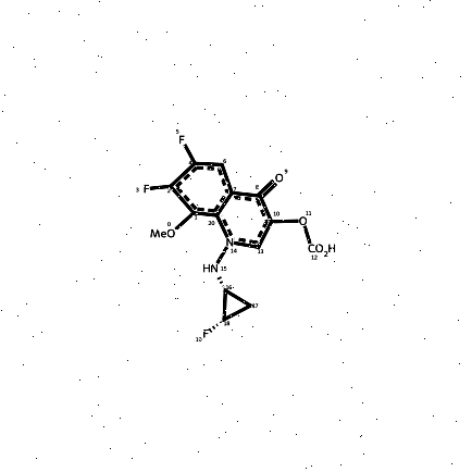 COc1c(F)c(F)cc2c(=O)c(OC(=O)O)cn(N[C@@H]3C[C@@H]3F)c12